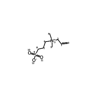 C=CC[N+](C)(C)CCCS(=O)(=O)[O-]